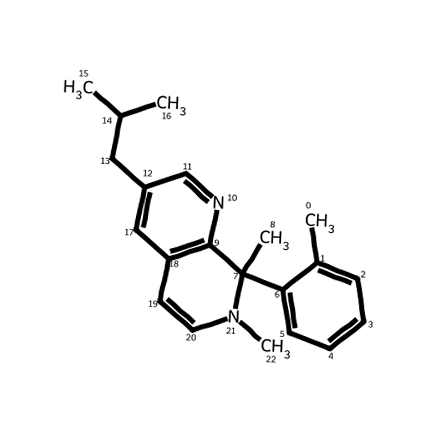 Cc1ccccc1C1(C)c2ncc(CC(C)C)cc2C=CN1C